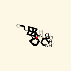 CC1(C)CNCCC1NC(=O)C12CC3C[C@]4(CCCl)C[C@@](c5ccccc5)(C1)C324